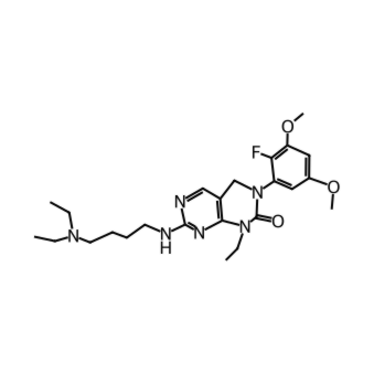 CCN(CC)CCCCNc1ncc2c(n1)N(CC)C(=O)N(c1cc(OC)cc(OC)c1F)C2